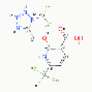 O=C(O)c1ccc(C(F)(F)F)nc1OCc1nnnn1C(F)F